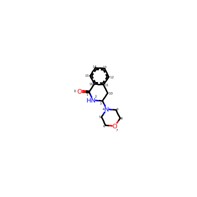 O=C1NC(N2CCOCC2)Cc2ccccc21